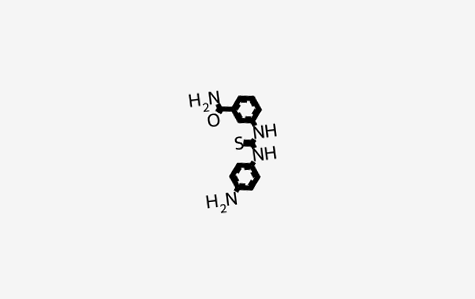 NC(=O)c1cccc(NC(=S)Nc2ccc(N)cc2)c1